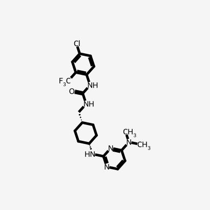 CN(C)c1ccnc(N[C@H]2CC[C@@H](CNC(=O)Nc3ccc(Cl)cc3C(F)(F)F)CC2)n1